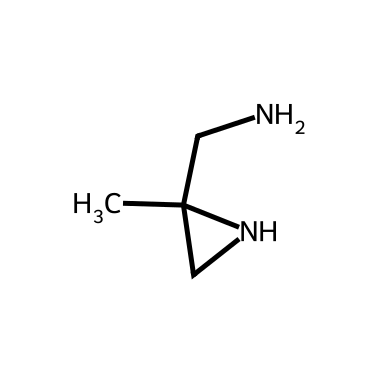 CC1(CN)CN1